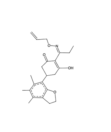 C=CCO/N=C(/CC)C1=C(O)CC(c2c(C)c(C)c(C)c3c2OCC3)CC1=O